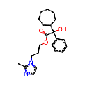 Cc1nccn1CCCOC(=O)C(O)(c1ccccc1)C1CCCCCC1